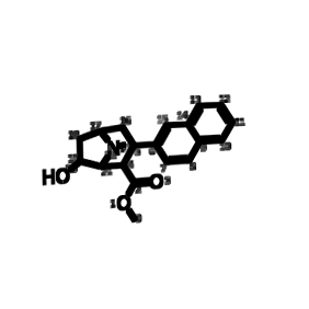 COC(=O)C1C(c2ccc3ccccc3c2)CC2CC(O)C1N2C